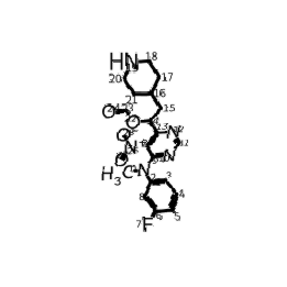 CN(c1cccc(F)c1)c1ncnc(C(CC2CCNCC2)OC=O)c1[N+](=O)[O-]